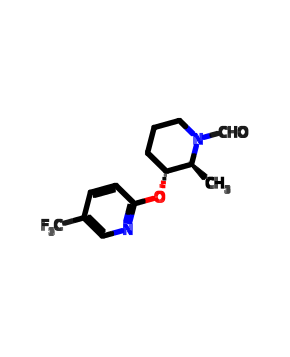 C[C@H]1[C@H](Oc2ccc(C(F)(F)F)cn2)CCCN1C=O